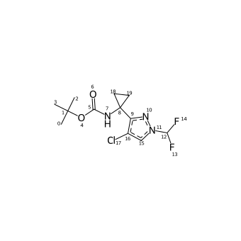 CC(C)(C)OC(=O)NC1(c2nn(C(F)F)cc2Cl)CC1